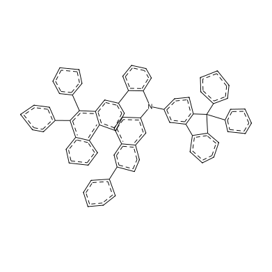 c1ccc(-c2ccc3cc(N(c4ccc5c(c4)-c4ccccc4C5(c4ccccc4)c4ccccc4)c4ccccc4-c4ccc5c(c4)c(-c4ccccc4)c(-c4ccccc4)c4ccccc45)ccc3c2)cc1